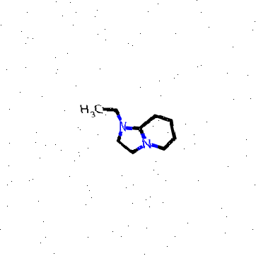 CCN1CCN2CCCCC12